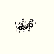 CCN1CCC[C@H](NC(=O)Cn2nc(C(C)C)c3cc(C)ccc3c2=O)C1=O